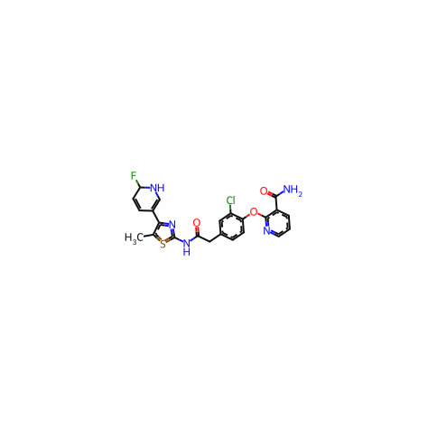 Cc1sc(NC(=O)Cc2ccc(Oc3ncccc3C(N)=O)c(Cl)c2)nc1C1=CNC(F)C=C1